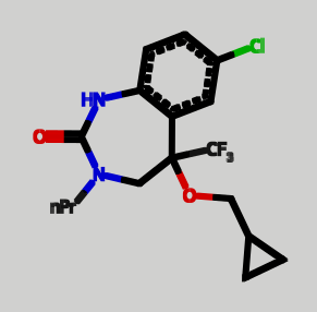 CCCN1CC(OCC2CC2)(C(F)(F)F)c2cc(Cl)ccc2NC1=O